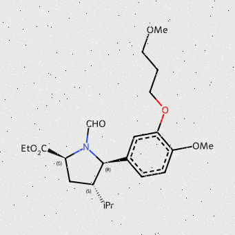 CCOC(=O)[C@@H]1C[C@@H](C(C)C)[C@H](c2ccc(OC)c(OCCCOC)c2)N1C=O